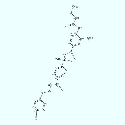 COc1cc(C(=O)NS(=O)(=O)c2ccc(C(=O)NCCc3ccc(F)cc3)cc2)cnc1OC(=O)NCC(=O)O